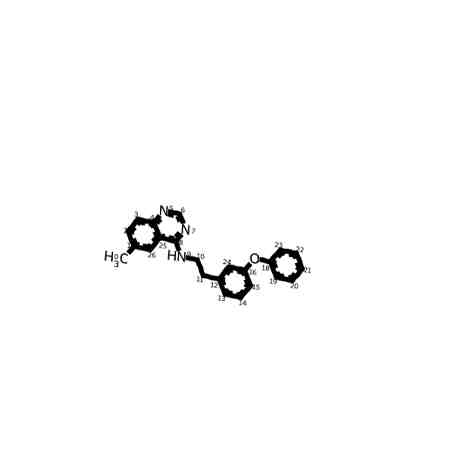 Cc1ccc2ncnc(NCCc3cccc(Oc4ccccc4)c3)c2c1